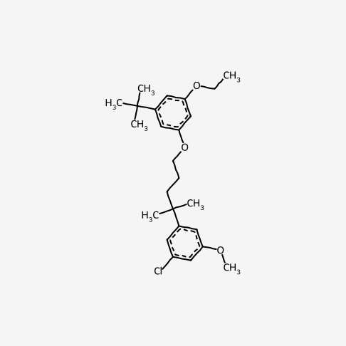 CCOc1cc(OCCCC(C)(C)c2cc(Cl)cc(OC)c2)cc(C(C)(C)C)c1